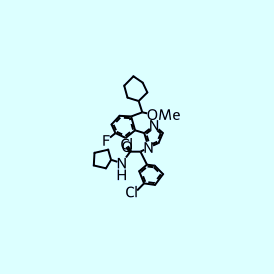 COC(c1ccc(F)c(Cl)c1-c1nccn1C(C(=O)NC1CCCC1)c1cccc(Cl)c1)C1CCCCC1